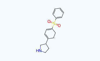 O=S(=O)(C1=CC=C(C2CCNC2)[CH]C1)c1ccccc1